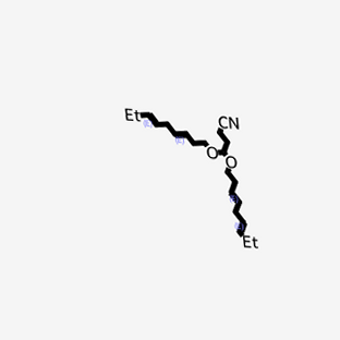 CC/C=C/C/C=C/CCOC(CCC#N)OCC/C=C/C/C=C/CC